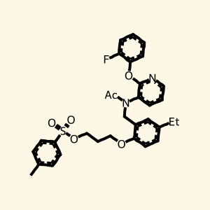 CCc1ccc(OCCCOS(=O)(=O)c2ccc(C)cc2)c(CN(C(C)=O)c2cccnc2Oc2ccccc2F)c1